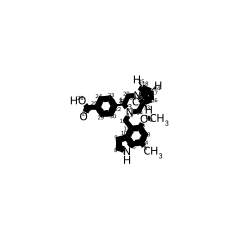 COc1cc(C)c2[nH]ccc2c1CN1C[C@@H]2C3[C@@H]4[C@H](N2C[C@@H]1c1ccc(C(=O)O)cc1)[C@]34C